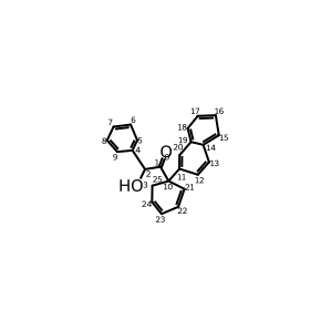 O=C(C(O)c1ccccc1)C1(c2ccc3ccccc3c2)C=CC=CC1